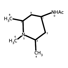 CC(=O)NC1CC(C)N(C)C(C)C1